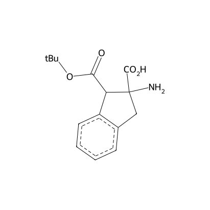 CC(C)(C)OC(=O)C1c2ccccc2CC1(N)C(=O)O